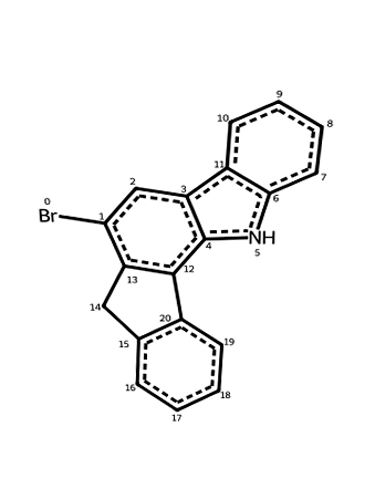 Brc1cc2c([nH]c3ccccc32)c2c1Cc1ccccc1-2